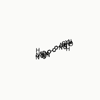 CC(C)[C@H](Nc1ncco1)C(=O)N1CCC[C@H]1c1nc(-c2ccc3cc(-c4ccc5[nH]c([C@@H]6CCCN6C(=O)[C@@H](Nc6ncc[nH]6)C(C)C)nc5c4)ccc3c2)c[nH]1